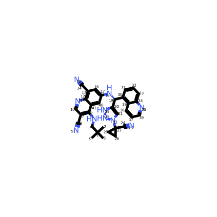 CC(C)(C)CNc1c(C#N)cnc2c(C#N)cc(N[C@H](C3=CN(C4(C#N)CC4)NN3)c3cccc4ncccc34)cc12